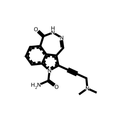 CN(C)CC#Cc1c2c3c(c[c]cc3n1C(N)=O)C(=O)NN=C2